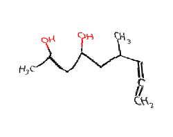 C=C=CC(C)CC(O)CC(C)O